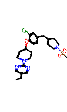 CCc1cnc(N2CCC(Oc3ccc(CC4CCN(S(C)(=O)=O)CC4)cc3Cl)CC2)nc1